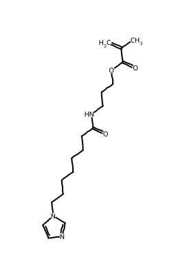 C=C(C)C(=O)OCCCNC(=O)CCCCCCCn1ccnc1